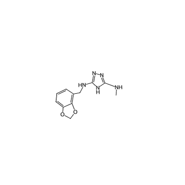 CNc1nnc(NCc2cccc3c2OCO3)[nH]1